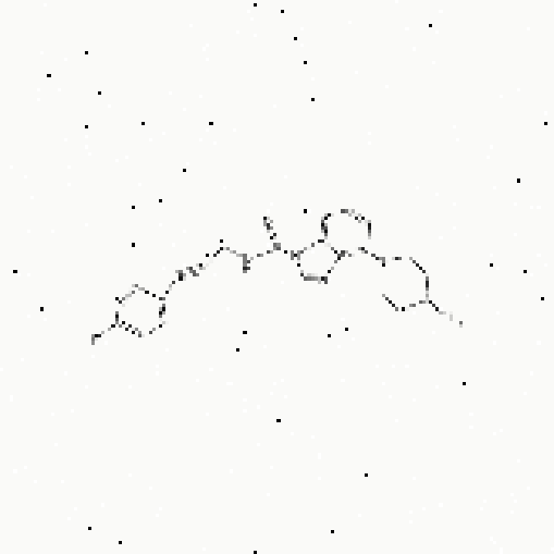 CN1CCN(c2cccc3c2ncn3C(=O)NCC#Cc2ccc(F)cc2)CC1